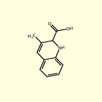 CC1=Cc2ccccc2NC1C(=O)O